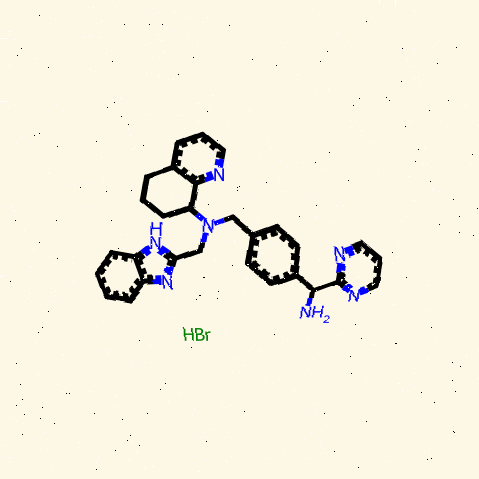 Br.NC(c1ccc(CN(Cc2nc3ccccc3[nH]2)C2CCCc3cccnc32)cc1)c1ncccn1